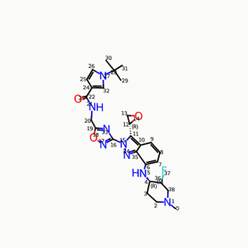 CN1CC[C@@H](Nc2cccc3c([C@@H]4CO4)n(-c4noc(CNC(=O)c5ccn(C(C)(C)C)c5)n4)nc23)[C@@H](F)C1